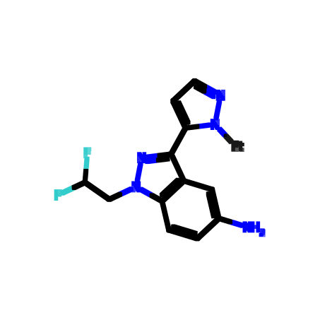 CCn1nccc1-c1nn(CC(F)F)c2ccc(N)cc12